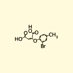 Cc1ccc(OC(=CC(=O)O)C(=O)O)c(Br)c1